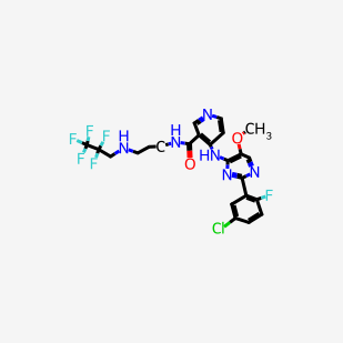 COc1cnc(-c2cc(Cl)ccc2F)nc1Nc1ccncc1C(=O)NCCCNCC(F)(F)C(F)(F)F